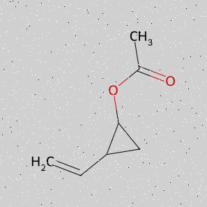 C=CC1CC1OC(C)=O